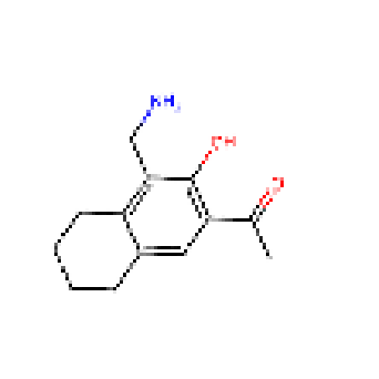 CC(=O)c1cc2c(c(CN)c1O)CCCC2